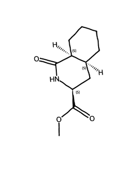 COC(=O)[C@@H]1C[C@@H]2CCCC[C@@H]2C(=O)N1